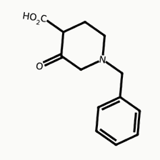 O=C(O)C1CCN(Cc2ccccc2)CC1=O